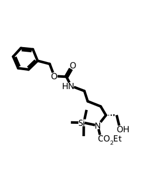 CCOC(=O)N([C@@H](CO)CCCNC(=O)OCc1ccccc1)[Si](C)(C)C